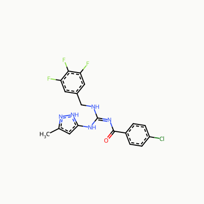 Cc1cc(N/C(=N\C(=O)c2ccc(Cl)cc2)NCc2cc(F)c(F)c(F)c2)[nH]n1